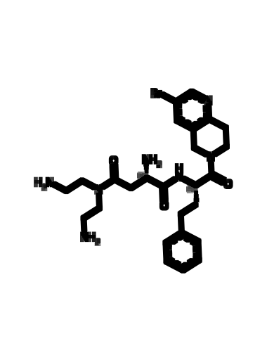 NCCN(CCN)C(=O)C[C@H](N)C(=O)N[C@@H](CCc1ccccc1)C(=O)N1CCc2ncc(Br)cc2C1